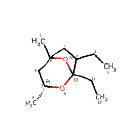 CCC1CC2(C)C[C@@H](C)OC1(CC)O2